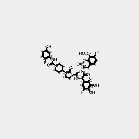 O=C(O)c1c(F)ccc2c1OB(O)[C@@H](NC(=O)[C@H](NC(=O)N1CCN(C3CCN(C(=O)Nc4cc(O)ccc4F)CC3)C1=O)c1cc(F)c(O)c(O)c1Cl)C2